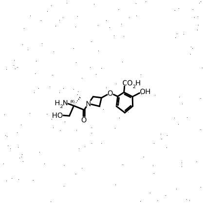 C[C@@](N)(CO)C(=O)N1CC(Oc2cccc(O)c2C(=O)O)C1